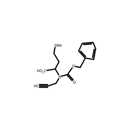 C#CCN(C(=O)OCc1ccccc1)C(CCSC)C(=O)O